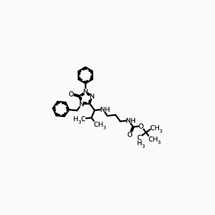 CC(C)C(NCCCNC(=O)OC(C)(C)C)c1nn(-c2ccccc2)c(=O)n1Cc1ccccc1